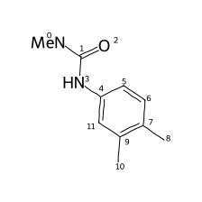 CNC(=O)Nc1ccc(C)c(C)c1